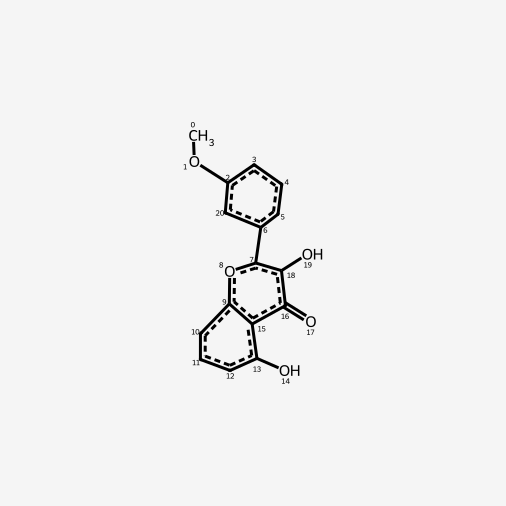 COc1cccc(-c2oc3cccc(O)c3c(=O)c2O)c1